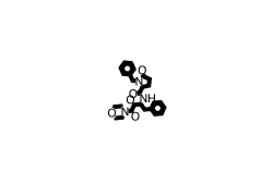 O=C(C(=O)N1CCOCC1)C(Cc1ccccc1)NC(=O)C1CCC(=O)N1Cc1ccccc1